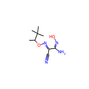 CC(O/N=C(C#N)/C(N)=N\O)C(C)(C)C